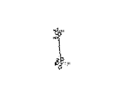 O=C(O)N(c1ccccc1)[C@@H](c1cccc(OCCCCCCCCCNC[C@H](O)c2ccc(O)c3[nH]c(=O)ccc23)c1Cl)C1CN2CCC1CC2